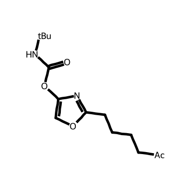 CC(=O)CCCCc1nc(OC(=O)NC(C)(C)C)co1